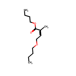 CCCCOCC=C(C)C(=O)OCCC[SiH3]